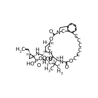 C=C[C@@H]1C[C@]1(NC(=O)[C@@H]1C[C@@H]2CN1C(=O)[C@H](C(C)(C)C)NC(=O)OCCCCCCc1cccc3c1CN(C3)C(=O)O2)P(=O)(O)OCC